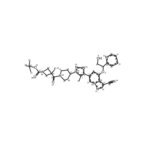 Cc1c(-c2cc(OC(CO)c3ccccn3)c3c(C#N)cnn3c2)nnn1C1CCN(C(=O)C2(F)CN(C(=O)OC(C)(C)C)C2)CC1